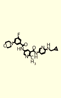 Cc1ncc(NC(=O)c2cc(F)cc(N3CCOCC3)c2)cc1C(=O)Nc1ccc(NCC2CC2)nc1